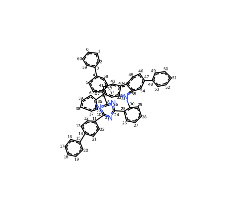 c1ccc(-c2ccc(-c3nc(-c4ccc(-c5ccccc5)cc4)nc(-c4ccccc4-n4c5cc(-c6ccccc6)ccc5c5ccc(-c6ccccc6)cc54)n3)cc2)cc1